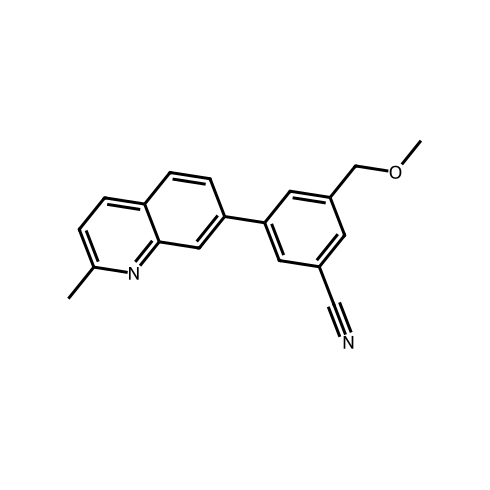 COCc1cc(C#N)cc(-c2ccc3ccc(C)nc3c2)c1